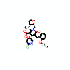 COc1ccccc1CC1C(=O)N(C[C@H]2CCCO2)C(C)=C(C(=O)O)[C@H]1c1ccc(Cl)nc1